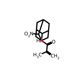 C=C(C)C(=O)NC1C2CC3CC1CC(C2)C3[N+](=O)[O-]